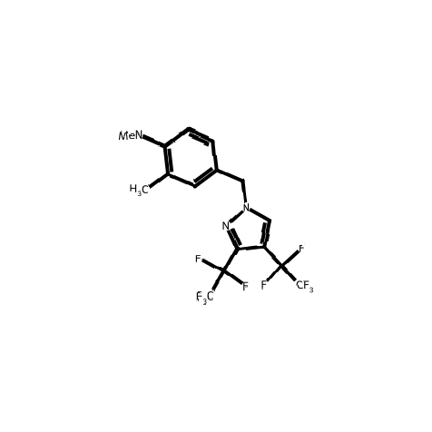 CNc1ccc(Cn2cc(C(F)(F)C(F)(F)F)c(C(F)(F)C(F)(F)F)n2)cc1C